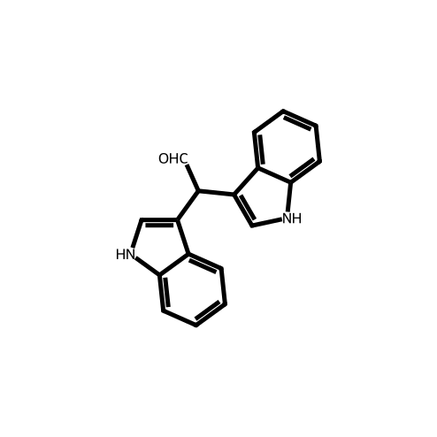 O=CC(c1c[nH]c2ccccc12)c1c[nH]c2ccccc12